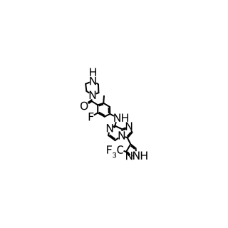 Cc1cc(Nc2nccn3c(-c4c[nH]nc4C(F)(F)F)cnc23)cc(F)c1C(=O)N1CCNCC1